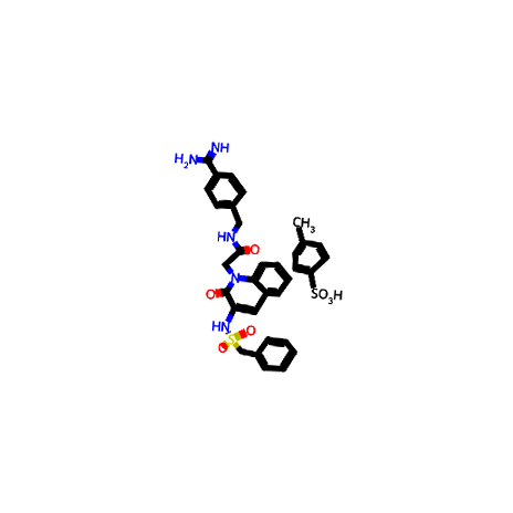 Cc1ccc(S(=O)(=O)O)cc1.N=C(N)c1ccc(CNC(=O)Cn2c(=O)c(NS(=O)(=O)Cc3ccccc3)cc3ccccc32)cc1